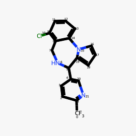 FC(F)(F)c1ccc(C2NCc3c(Cl)cccc3-n3cccc32)cn1